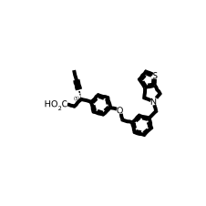 CC#C[C@@H](CC(=O)O)c1ccc(OCc2cccc(CN3Cc4ccsc4C3)c2)cc1